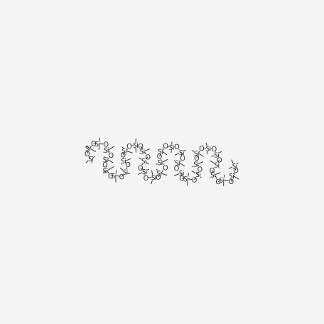 C[Si](C)(C)O[Si](C)(C)O[Si](C)(C)O[Si](C)(C)O[Si](C)(C)O[Si](C)(C)O[Si](C)(C)O[Si](C)(C)O[Si](C)(C)O[Si](C)(C)O[Si](C)(C)O[Si](C)(C)O[Si](C)(C)O[Si](C)(C)O[Si](C)(C)O[Si](C)(C)O[Si](C)(C)O[Si](C)(C)O[Si](C)(C)O[Si](C)(C)O[Si](C)(C)O[Si](C)(C)O[Si](C)(C)O[Si](C)(C)O[Si](C)(C)O[Si](C)(C)O[Si](C)(C)O[Si](C)(C)O[Si](C)(C)O[Si](C)(C)O[Si](C)(C)O[Si](C)(C)O[Si](C)(C)C